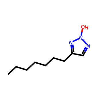 CCCCCCCc1cnn(O)n1